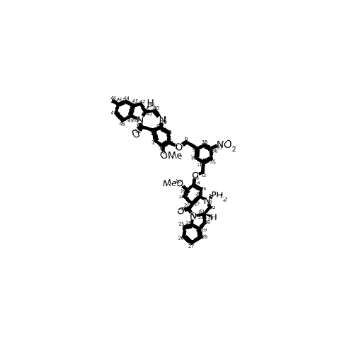 COc1cc2c(cc1OCc1cc(COc3cc4c(cc3OC)C(=O)N3c5ccccc5C[C@H]3CN4P)cc([N+](=O)[O-])c1)N=C[C@@H]1Cc3cc(C)ccc3N1C2=O